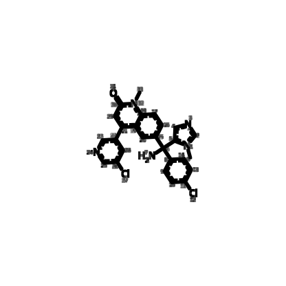 Cn1cncc1C(N)(c1ccc(Cl)cc1)c1ccc2c(c1)c(-c1cncc(Cl)c1)cc(=O)n2C